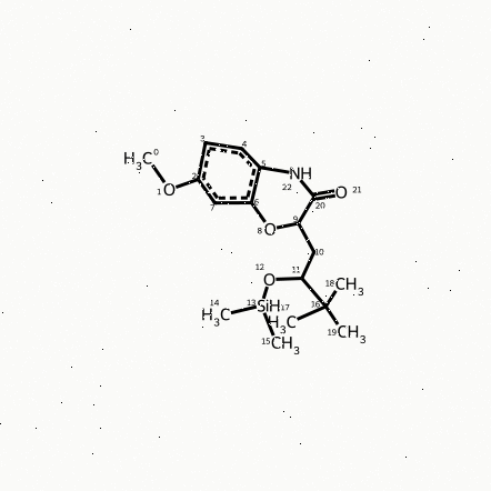 COc1ccc2c(c1)OC(CC(O[SiH](C)C)C(C)(C)C)C(=O)N2